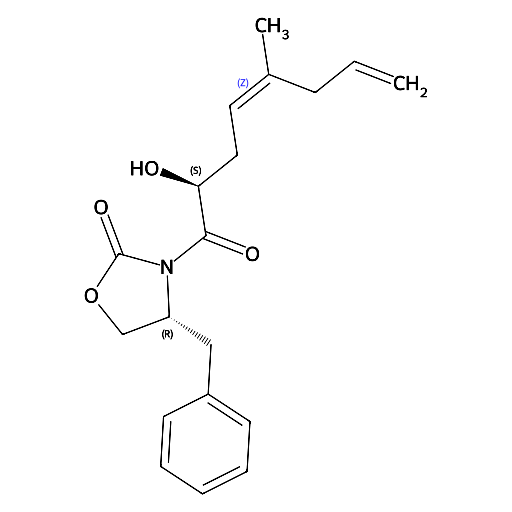 C=CC/C(C)=C\C[C@H](O)C(=O)N1C(=O)OC[C@H]1Cc1ccccc1